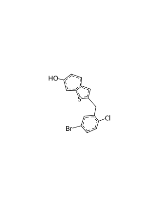 Oc1ccc2cc(Cc3cc(Br)ccc3Cl)sc2c1